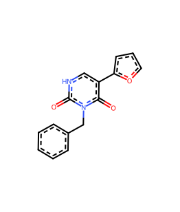 O=c1[nH]cc(-c2ccco2)c(=O)n1Cc1ccccc1